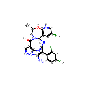 CC1CN2C(=O)c3cnn4c(N)c(-c5ccc(F)cc5F)c(nc34)NC2c2cc(F)cnc2O1